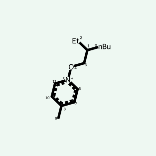 CCCCC(CC)CO[n+]1ccc(C)cc1